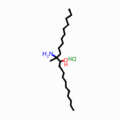 CCCCCCCCCCC(O)C(C)(N)CCCCCCCCCC.Cl